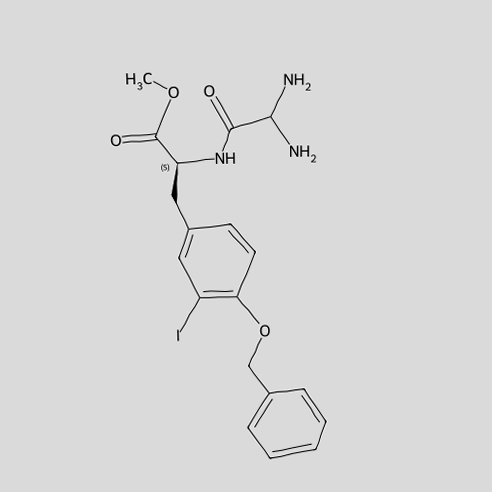 COC(=O)[C@H](Cc1ccc(OCc2ccccc2)c(I)c1)NC(=O)C(N)N